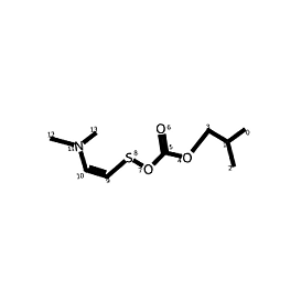 CC(C)COC(=O)OS/C=C\N(C)C